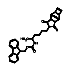 O=C(NC(CCCCN1C(=O)C2C3C=CC(C4C=CC43)C2C1=O)C(=O)O)OCC1c2ccccc2-c2ccccc21